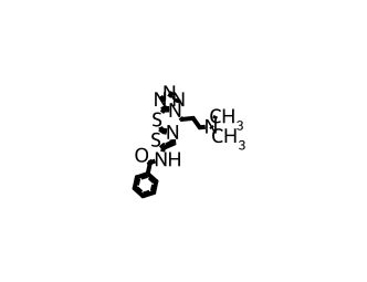 CN(C)CCCn1nnnc1Sc1ncc(NC(=O)c2ccccc2)s1